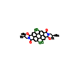 CCCCC(CC)CN1C(=O)c2cc(Cl)c3c4c(Cl)cc5c6c(cc(Cl)c(c7c(Cl)cc(c2c37)C1=O)c64)C(=O)N(CC(CC)CCCC)C5=O